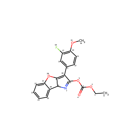 CCOC(=O)OC1=NC2C(=C1c1ccc(OC)c(F)c1)Oc1ccccc12